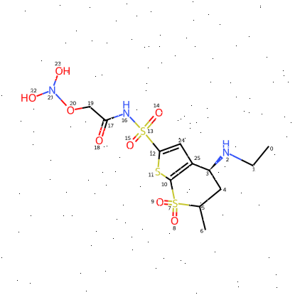 CCN[C@H]1CC(C)S(=O)(=O)c2sc(S(=O)(=O)NC(=O)CON(O)O)cc21